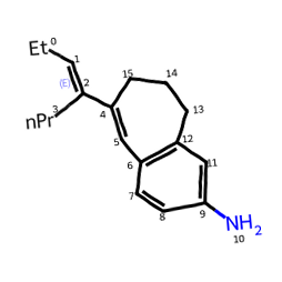 CC/C=C(\CCC)C1=Cc2ccc(N)cc2CCC1